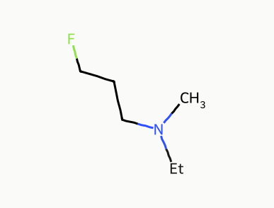 CCN(C)CCCF